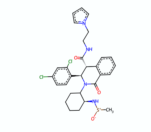 C[S+]([O-])N[C@H]1CCCCC1N1C(=O)c2ccccc2[C@@H](C(=O)NCCn2cccc2)[C@@H]1c1ccc(Cl)cc1Cl